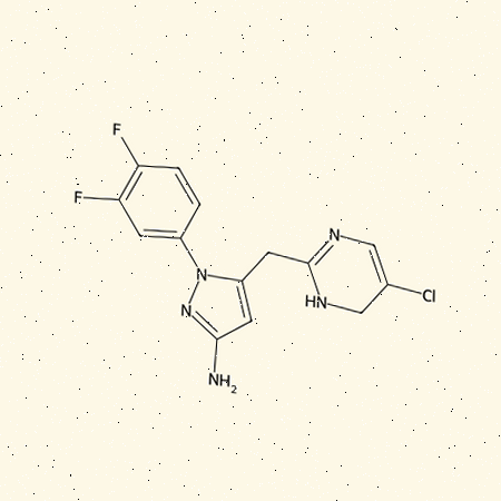 Nc1cc(CC2=NC=C(Cl)CN2)n(-c2ccc(F)c(F)c2)n1